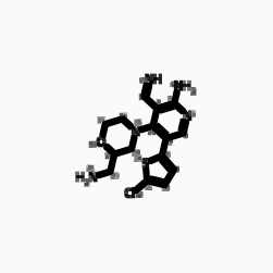 N=Cc1c(N)ncc(-c2ccc(Cl)s2)c1N1CCOC(CN)C1